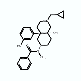 CN(C(=O)c1ccccc1)[C@H]1CC[C@]2(O)CN(CC3CC3)CC[C@@]2(c2cccc(O)c2)C1